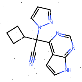 N#CC(c1ncnc2[nH]ccc12)(C1CCC1)n1cccn1